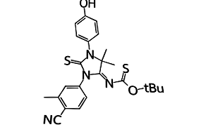 Cc1cc(N2C(=S)N(c3ccc(O)cc3)C(C)(C)C2=NC(=S)OC(C)(C)C)ccc1C#N